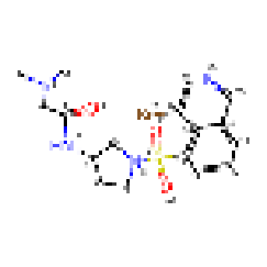 CN(C)CC(=O)N[C@H]1CCN(S(=O)(=O)c2cccc3cncc(Br)c23)C1